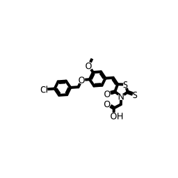 COc1cc(C=C2SC(=S)N(CC(=O)O)C2=O)ccc1OCc1ccc(Cl)cc1